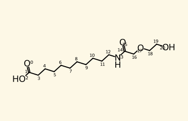 O=C(O)CCCCCCCCCCNC(=O)COCCO